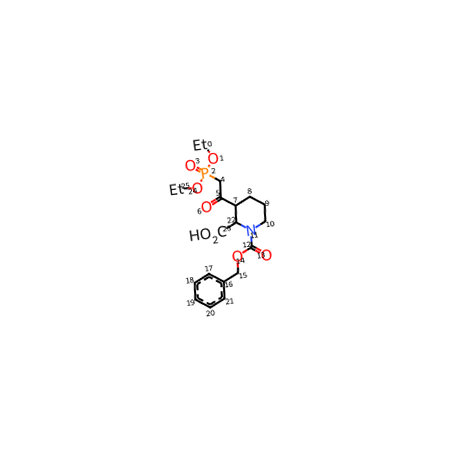 CCOP(=O)(CC(=O)C1CCCN(C(=O)OCc2ccccc2)C1C(=O)O)OCC